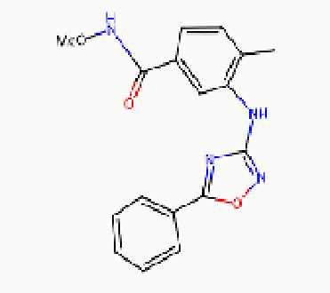 CONC(=O)c1ccc(C)c(Nc2noc(-c3ccccc3)n2)c1